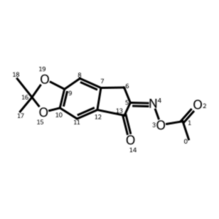 CC(=O)ON=C1Cc2cc3c(cc2C1=O)OC(C)(C)O3